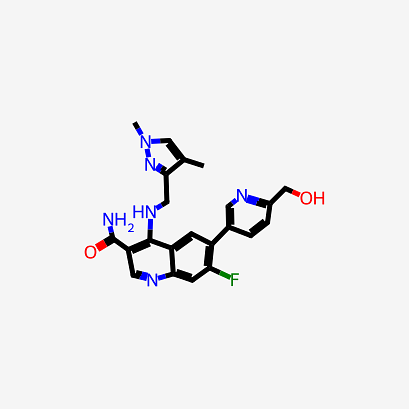 Cc1cn(C)nc1CNc1c(C(N)=O)cnc2cc(F)c(-c3ccc(CO)nc3)cc12